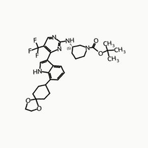 CC(C)(C)OC(=O)N1CCC[C@H](Nc2ncc(C(F)(F)F)c(-c3c[nH]c4c(C5CCC6(CC5)OCCO6)cccc34)n2)C1